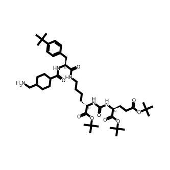 CC(C)(C)OC(=O)CC[C@H](NC(=O)N[C@@H](CCCCNC(=O)[C@H](Cc1ccc(C(C)(C)C)cc1)NC(=O)C1CCC(CN)CC1)C(=O)OC(C)(C)C)C(=O)OC(C)(C)C